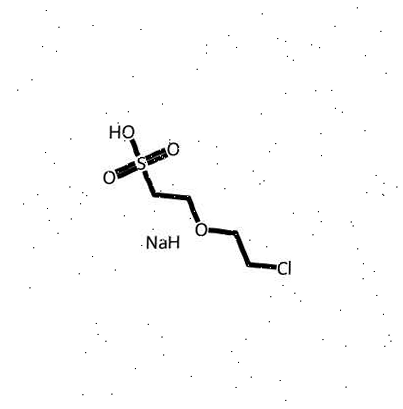 O=S(=O)(O)CCOCCCl.[NaH]